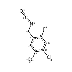 Cc1cc(CN=C=O)c(F)cc1Cl